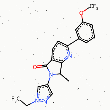 CC1c2nc(-c3cccc(OC(F)(F)F)c3)ccc2C(=O)N1c1cnn(CC(F)(F)F)c1